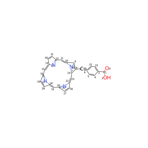 O=C(O)c1cc[c]([Co][C]2=CC3=CC4=NC(=CC5=NC(=CC6=NC(=CC2=N3)C=C6)C=C5)C=C4)cc1